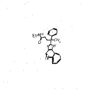 CCNC(=O)CCC(C)(c1ccccc1)c1nc2cnc3ccccc3c2[nH]1